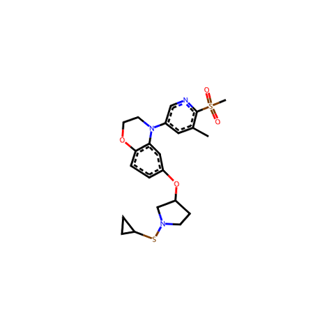 Cc1cc(N2CCOc3ccc(OC4CCN(SC5CC5)C4)cc32)cnc1S(C)(=O)=O